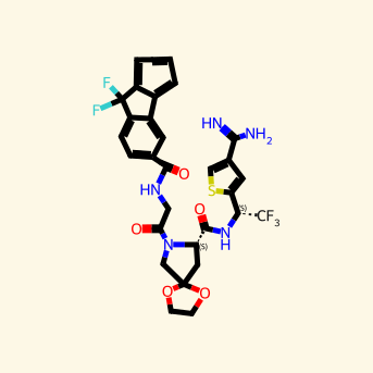 N=C(N)c1csc([C@@H](NC(=O)[C@@H]2CC3(CN2C(=O)CNC(=O)c2ccc4c(c2)-c2ccccc2C4(F)F)OCCO3)C(F)(F)F)c1